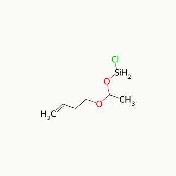 C=CCCOC(C)O[SiH2]Cl